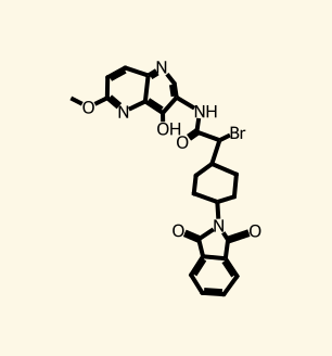 COc1ccc2ncc(NC(=O)C(Br)C3CCC(N4C(=O)c5ccccc5C4=O)CC3)c(O)c2n1